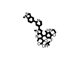 Cc1nc2c(cc(-c3ccnc(-c4ccc5c(cnn5C)c4)c3)n2C)c(-c2cc(F)c3c(c2C)NCCO3)c1C(OC(C)(C)C)C(=O)O